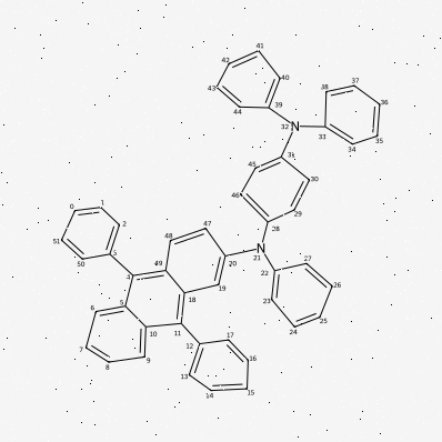 c1ccc(-c2c3ccccc3c(-c3ccccc3)c3cc(N(c4ccccc4)c4ccc(N(c5ccccc5)c5ccccc5)cc4)ccc23)cc1